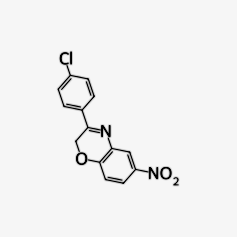 O=[N+]([O-])c1ccc2c(c1)N=C(c1ccc(Cl)cc1)CO2